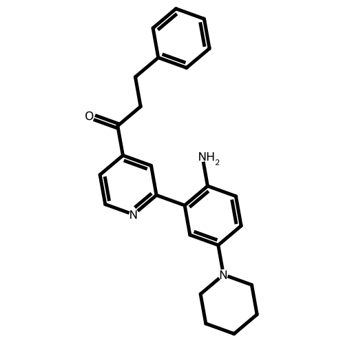 Nc1ccc(N2CCCCC2)cc1-c1cc(C(=O)CCc2ccccc2)ccn1